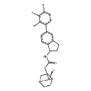 O=C(NC1CCc2cc(-c3ccc(F)c(F)c3F)ccc21)O[C@H]1CN2CCC1CC2